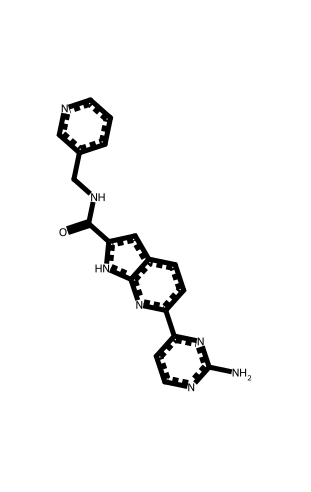 Nc1nccc(-c2ccc3cc(C(=O)NCc4cccnc4)[nH]c3n2)n1